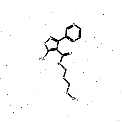 CSCCCNC(=O)c1c(-c2cccnc2)noc1N